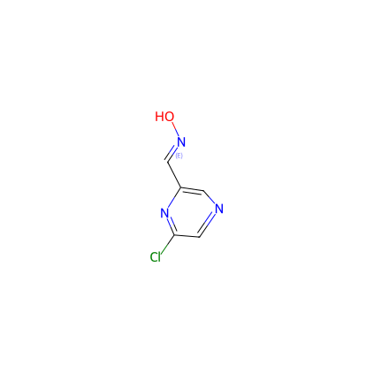 O/N=C/c1cncc(Cl)n1